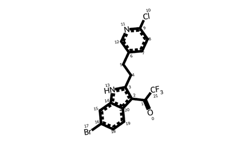 O=C(c1c(CCc2ccc(Cl)nc2)[nH]c2cc(Br)ccc12)C(F)(F)F